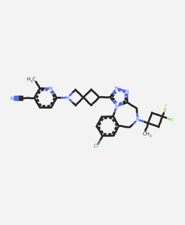 Cc1nc(N2CC3(CC(c4nnc5n4-c4ccc(Cl)cc4CN(C4(C)CC(F)(F)C4)C5)C3)C2)ccc1C#N